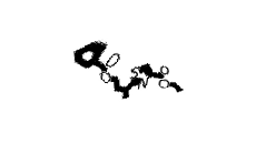 CCOC(=O)c1csc(C(C)CCOC(=O)c2ccccc2)n1